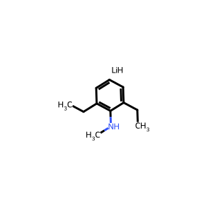 CCc1cccc(CC)c1NC.[LiH]